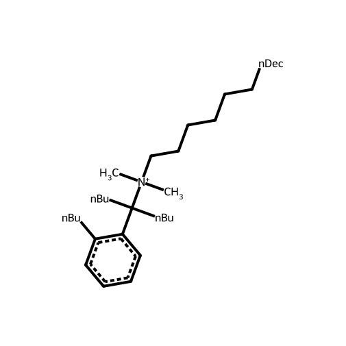 CCCCCCCCCCCCCCCC[N+](C)(C)C(CCCC)(CCCC)c1ccccc1CCCC